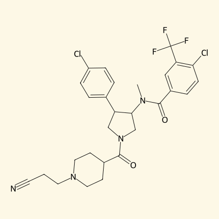 CN(C(=O)c1ccc(Cl)c(C(F)(F)F)c1)C1CN(C(=O)C2CCN(CCC#N)CC2)CC1c1ccc(Cl)cc1